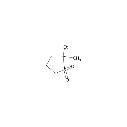 CCC1(C)CCCS1(=O)=O